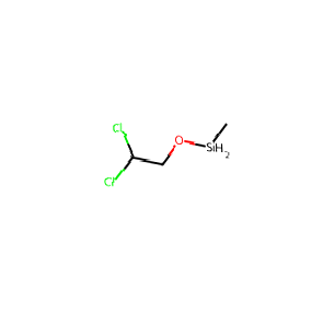 C[SiH2]OCC(Cl)Cl